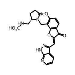 COc1ccc2c(c1CN1CCC[C@@H]1CNC(=O)O)OC(=Cc1n[nH]c3ncccc13)C2=O